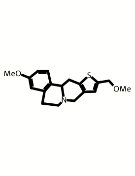 COCc1cc2c(s1)CC1c3ccc(OC)cc3CCN1C2